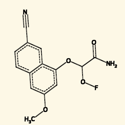 COc1cc(OC(OF)C(N)=O)c2cc(C#N)ccc2c1